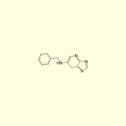 C1=NC2=NC=C(NCc3ccccc3)CC2=N1